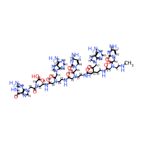 CNCCN(CC(=O)NCCC(CC(=O)NCCN(CC(=O)NCCN(CC(=O)NCCN(CC(=O)O)C(=O)Cn1cnc2c(=O)[nH]c(N)nc21)C(=O)Cn1cnc2c(N)ncnc21)C(=O)Cn1ccc(N)nc1=O)C(=O)Cn1cnc2c(N)ncnc21)C(=O)Cn1ccc(N)nc1=O